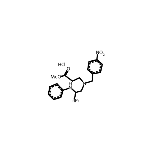 CCCC(CN(CCC(=O)OC)Cc1ccc([N+](=O)[O-])cc1)Nc1ccccc1.Cl